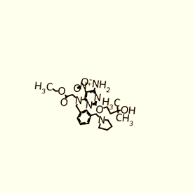 CCOC(=O)CN(Cc1cccc(CN2CCCC2)c1)c1nc(OCCC(C)(C)O)nc(N)c1[N+](=O)[O-]